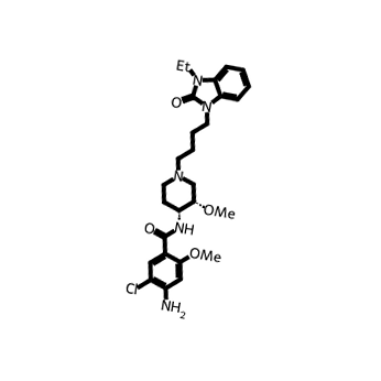 CCn1c(=O)n(CCCCN2CC[C@@H](NC(=O)c3cc(Cl)c(N)cc3OC)[C@@H](OC)C2)c2ccccc21